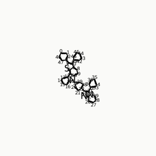 c1ccc(-c2sc3c(ccc4c3c3ccccc3n4-c3ccc(-c4nc5ccccn5c4-c4ccccc4)cc3)c2-c2ccccc2)cc1